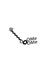 COc1ccc(OCCCCCCCCCCBr)cc1OC